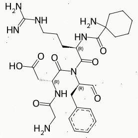 N=C(N)NCCC[C@@H](NC(=O)C1(N)CCCCC1)C(=O)N(C(=O)[C@@H](CC(=O)O)NC(=O)CN)[C@@H]([C]=O)Cc1ccccc1